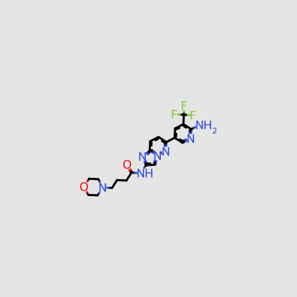 Nc1ncc(-c2ccc3nc(NC(=O)CCCN4CCOCC4)cn3n2)cc1C(F)(F)F